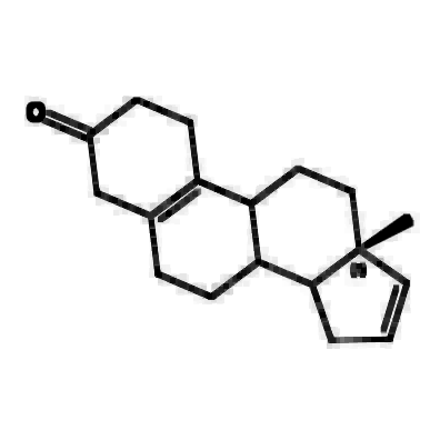 C[C@@]12C=CCC1C1CCC3=C(CCC(=O)C3)C1CC2